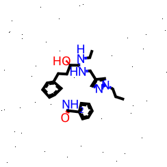 CCCn1cc(CNC(NCC)[C@H](O)CCc2ccccc2)cn1.NC(=O)c1ccccc1